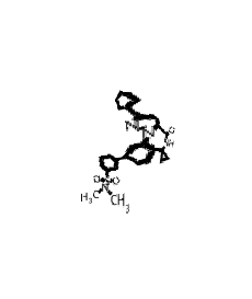 CN(C)S(=O)(=O)c1cccc(-c2ccc3c(c2)-n2nc(-c4ccccc4)cc2C(=O)NC32CC2)c1